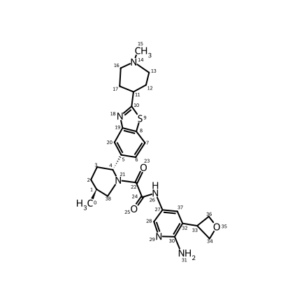 C[C@H]1CC[C@H](c2ccc3sc(C4CCN(C)CC4)nc3c2)N(C(=O)C(=O)Nc2cnc(N)c(C3COC3)c2)C1